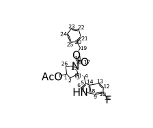 CC(=O)OC1C[C@@H](Cc2c[nH]c3cc(F)ccc23)N(C(=O)OCc2ccccc2)C1